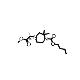 CCCCOC(=O)N1CCN([C@@H](C)C(=O)OC)CC1(C)C